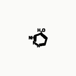 N.O.c1ccnnc1